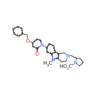 Cn1c2c(c3ccc(-n4ccc(OCc5ccccc5)cc4=O)cc31)CN(CC1CCCN1C(=O)O)CC2